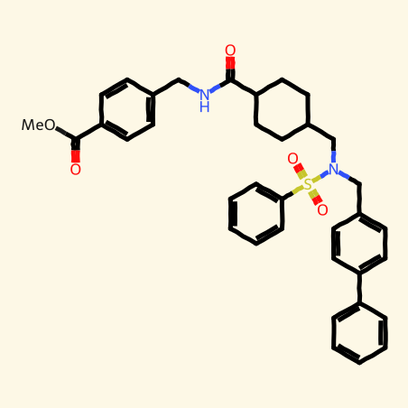 COC(=O)c1ccc(CNC(=O)C2CCC(CN(Cc3ccc(-c4ccccc4)cc3)S(=O)(=O)c3ccccc3)CC2)cc1